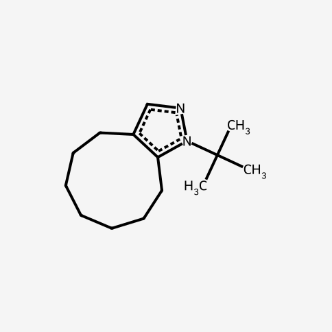 CC(C)(C)n1ncc2c1CCCCCCC2